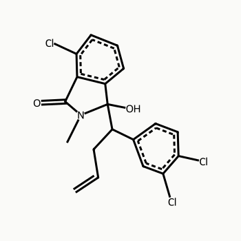 C=CCC(c1ccc(Cl)c(Cl)c1)C1(O)c2cccc(Cl)c2C(=O)N1C